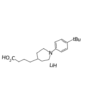 CC(C)(C)c1ccc(N2CCC(CCCC(=O)O)CC2)cc1.[LiH]